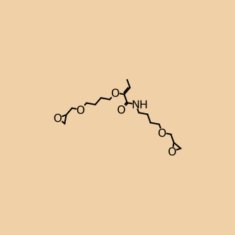 C/C=C(\OCCCCOCC1CO1)C(=O)NCCCCOCC1CO1